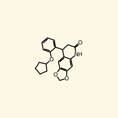 O=C1CC(c2ccccc2OC2CCCC2)c2cc3c(cc2N1)OCO3